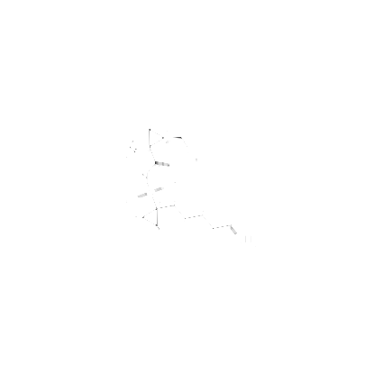 C=CCCCCC1(S(=O)(=O)NC(=O)[C@@]2(N)C[C@H]2CC)CC1